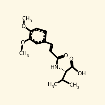 COc1ccc(C=CC(=O)N[C@H](C(=O)O)C(C)C)cc1OC